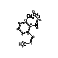 C/C=C\c1cccc(C)c1/N=C\C